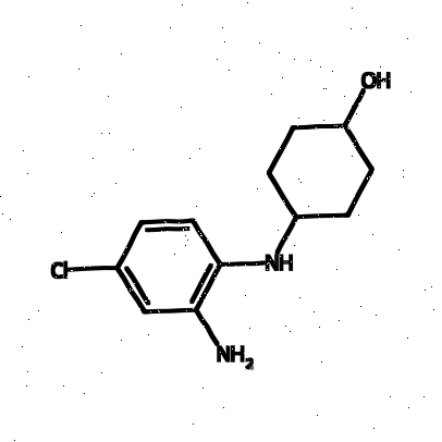 Nc1cc(Cl)ccc1NC1CCC(O)CC1